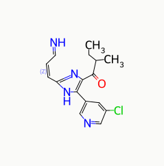 CCC(C)C(=O)c1nc(/C=C\C=N)[nH]c1-c1cncc(Cl)c1